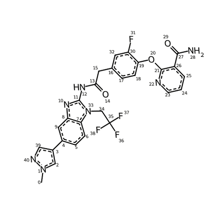 Cn1cc(-c2ccc3c(c2)nc(NC(=O)Cc2ccc(Oc4ncccc4C(N)=O)c(F)c2)n3CC(F)(F)F)cn1